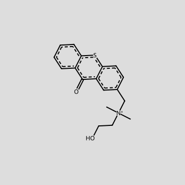 C[N+](C)(CCO)Cc1ccc2sc3ccccc3c(=O)c2c1